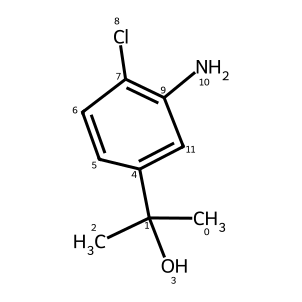 CC(C)(O)c1ccc(Cl)c(N)c1